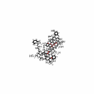 CC[C@H](C)[C@H](NC(=O)[C@H](CO)NC(=O)[C@H](Cc1ccc(O)cc1)NC(=O)[C@H](CC(=O)O)NC(=O)[C@H](CO)NC(=O)[C@@H](NC(=O)[C@H](Cc1ccccc1)NC(=O)[C@@H](NC(=O)CNC(=O)[C@H](CCC(=O)O)NC(=O)CSCC(=O)NCCn1c(C)cccc1=O)[C@@H](C)O)[C@@H](C)O)C(=O)N[C@@H](Cc1ccc(O)cc1)C(=O)N[C@@H](CC(C)C)C(=O)N[C@@H](CC(=O)O)C(=O)N[C@H](C)CCCCN